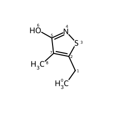 CCc1snc(O)c1C